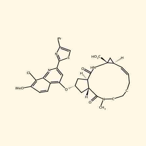 COc1ccc2c(O[C@@H]3C[C@H]4C(=O)N[C@]5(C(=O)O)C[C@H]5/C=C\CCCCN(C)C(=O)[C@@H]4C3)cc(-c3nc(C(C)C)cs3)nc2c1Cl